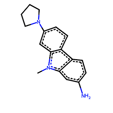 Cn1c2cc(N)ccc2c2ccc(N3CCCC3)cc21